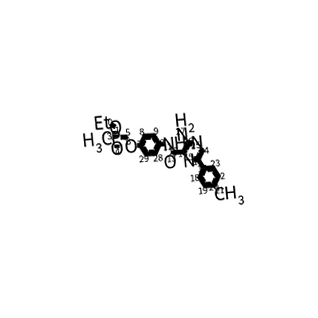 CCOP(C)(=O)COc1ccc(NC(=O)c2nc(-c3ccc(C)cc3)cnc2N)cc1